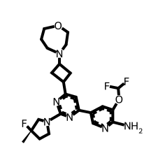 C[C@]1(F)CCN(c2nc(-c3cnc(N)c(OC(F)F)c3)cc(C3CC(N4CCCOCC4)C3)n2)C1